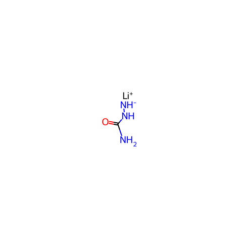 [Li+].[NH-]NC(N)=O